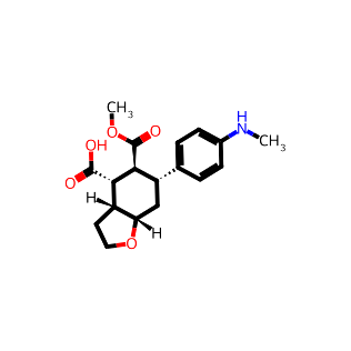 CNc1ccc([C@@H]2C[C@@H]3OCC[C@@H]3[C@H](C(=O)O)[C@H]2C(=O)OC)cc1